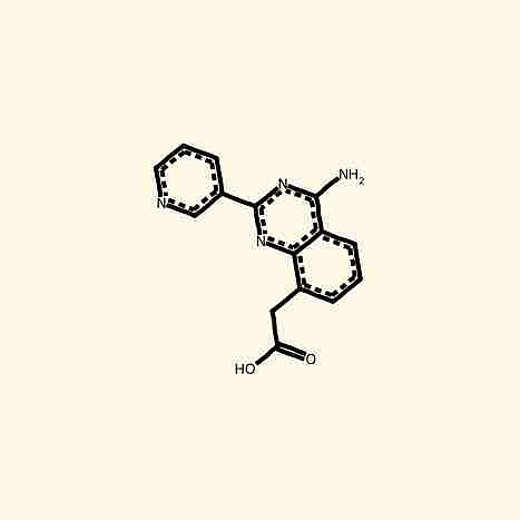 Nc1nc(-c2cccnc2)nc2c(CC(=O)O)cccc12